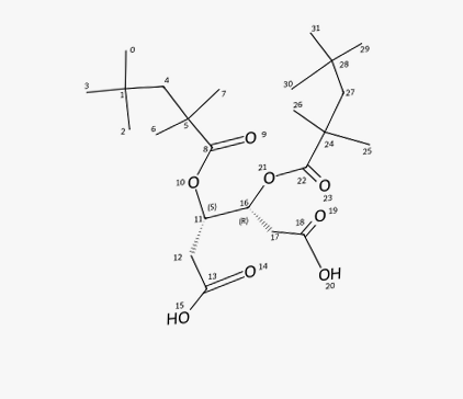 CC(C)(C)CC(C)(C)C(=O)O[C@@H](CC(=O)O)[C@@H](CC(=O)O)OC(=O)C(C)(C)CC(C)(C)C